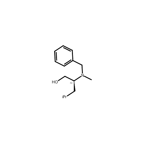 CC(C)C[C@@H](CO)N(C)Cc1ccccc1